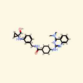 CN(C)c1nc(NC2CCC(C(=O)NCc3cccc(NC4(C=O)CC4)c3)CC2)nc2ccccc12